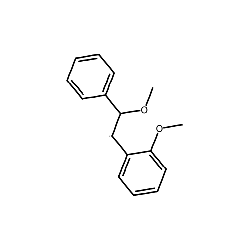 COc1ccccc1[CH]C(OC)c1ccccc1